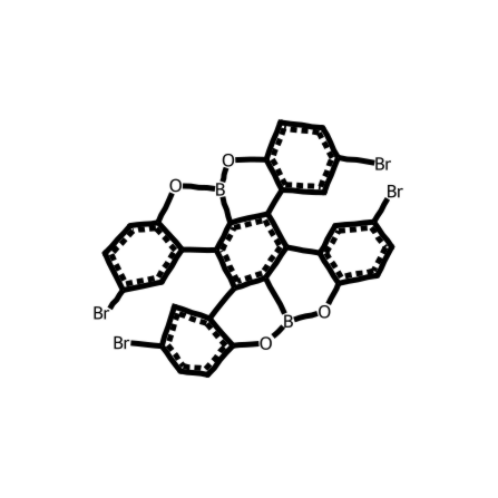 Brc1ccc2c(c1)-c1c3c(c4c5c1-c1cc(Br)ccc1OB5Oc1ccc(Br)cc1-4)-c1cc(Br)ccc1OB3O2